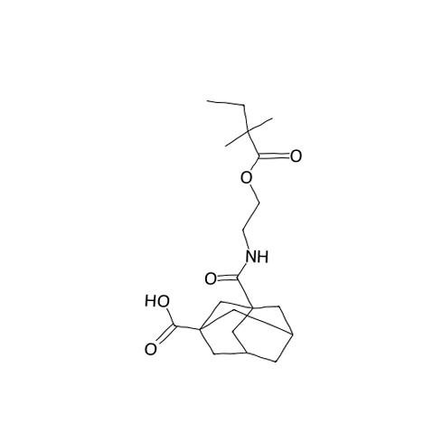 CCC(C)(C)C(=O)OCCNC(=O)C12CC3CC(CC(C(=O)O)(C3)C1)C2